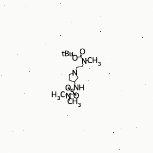 CN(CCN1CCC(NS(=O)(=O)N(C)C)C1)C(=O)OC(C)(C)C